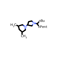 CCCCCC(CCCC)N1CCC(N2CC(C)CC(C)C2)C1